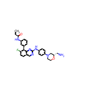 C=CC(=O)Nc1cccc(-c2c(F)ccc3cnc(Nc4ccc(N5CCO[C@@H](CN)C5)cc4)nc23)c1